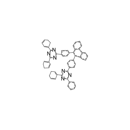 C1=CCCC(c2nc(C3=CCCC=C3)nc(-c3ccc(-c4c(-c5ccc(-c6nc(C7=CCCC=C7)nc(-c7ccccc7)n6)cc5)c5ccccc5c5ccccc45)cc3)n2)=C1